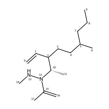 C=CC(CCC(C)CCC)[C@H](C)N(NC)C(=C)C